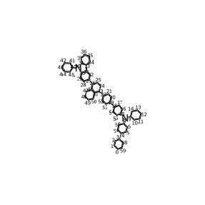 c1ccc(-c2ccc(N(c3ccccc3)c3ccc(-c4ccc(-c5ccc(-c6ccc7c(c6)c6ccccc6n7-c6ccccc6)c6ccccc56)cc4)cc3)cc2)cc1